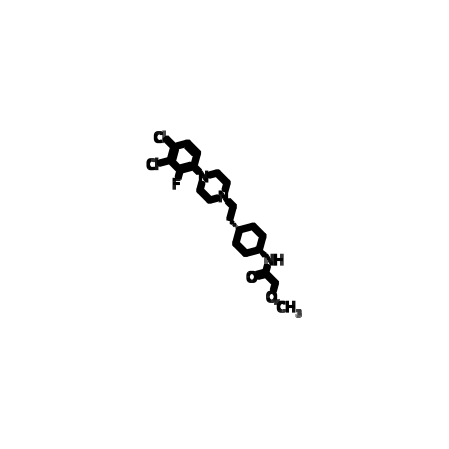 COCC(=O)N[C@H]1CC[C@H](CCN2CCN(c3ccc(Cl)c(Cl)c3F)CC2)CC1